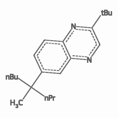 CCCCC(C)(CCC)c1ccc2nc(C(C)(C)C)cnc2c1